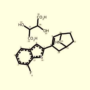 Fc1cccc2cc(C3=CC4CCC(C3)N4)sc12.O=C(O)C(O)C(O)C(=O)O